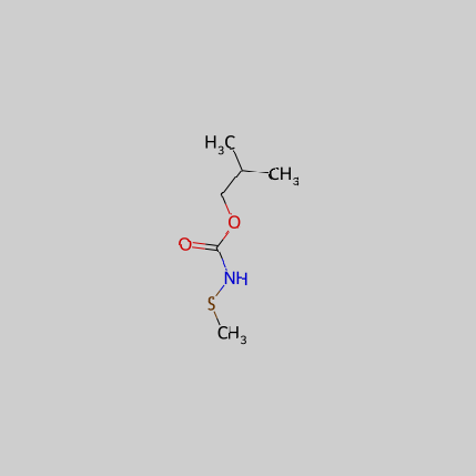 CSNC(=O)OCC(C)C